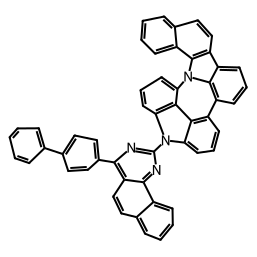 c1ccc(-c2ccc(-c3nc(-n4c5cccc6c7cccc8c9ccc%10ccccc%10c9n(c9cccc4c9c65)c78)nc4c3ccc3ccccc34)cc2)cc1